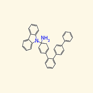 NC1(n2c3ccccc3c3ccccc32)C=CC(c2ccccc2-c2ccc(-c3ccccc3)cc2)=CC1